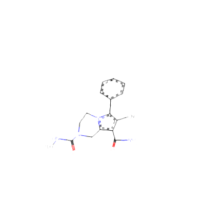 CC(C)(C)NC(=O)N1CCn2c(c(C(N)=O)c(C#N)c2-c2ccccc2)C1